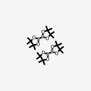 CC1(C)OB(B2OC(C)(C)C(C)(C)O2)OC1(C)C.CC1(C)OB(B2OC(C)(C)C(C)(C)O2)OC1(C)C